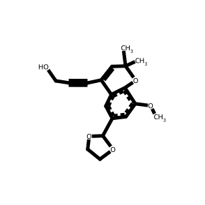 COc1cc(C2OCCO2)cc2c1OC(C)(C)C=C2C#CCO